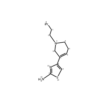 CC(C)CCN1CCC=C(c2csc(N)n2)C1